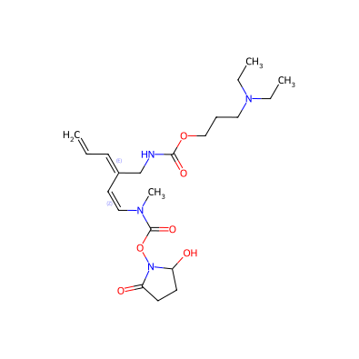 C=C/C=C(\C=C/N(C)C(=O)ON1C(=O)CCC1O)CNC(=O)OCCCN(CC)CC